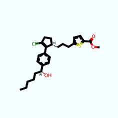 CCCCC[C@@H](O)c1ccc(C2=C(Cl)CC[C@@H]2CCCc2ccc(C(=O)OC)s2)cc1